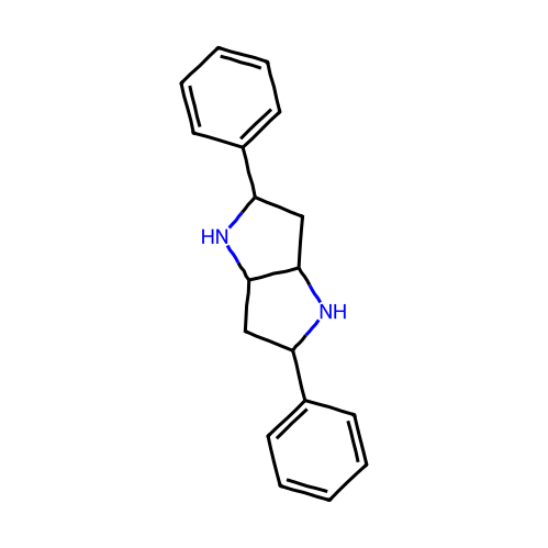 c1ccc(C2CC3NC(c4ccccc4)CC3N2)cc1